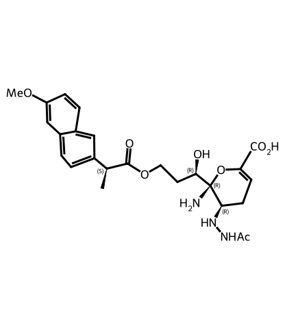 COc1ccc2cc([C@H](C)C(=O)OCC[C@@H](O)[C@]3(N)OC(C(=O)O)=CC[C@H]3NNC(C)=O)ccc2c1